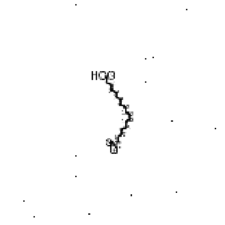 O=C(O)CCCCCCCCC/C=C\CCCCCC[N+](=O)[O-]